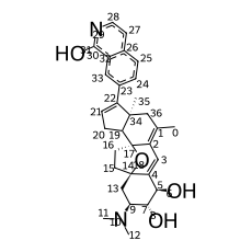 CC1=C2C=C3[C@@H](O)[C@H](O)[C@@H](N(C)C)C[C@]34CC[C@]2(O4)C2CC=C(c3ccc4ccnc(O)c4c3)[C@@]2(C)C1